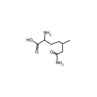 CC(CCC(N)C(=O)O)CC(N)=O